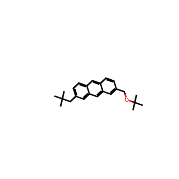 CC(C)(C)Cc1ccc2cc3ccc(COC(C)(C)C)cc3cc2c1